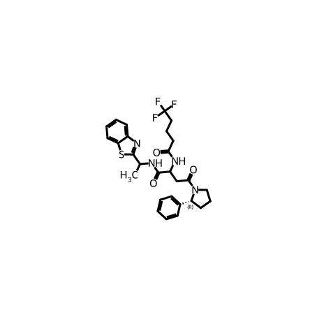 CC(NC(=O)C(CC(=O)N1CCC[C@@H]1c1ccccc1)NC(=O)CCCC(F)(F)F)c1nc2ccccc2s1